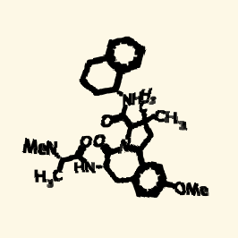 CN[C@@H](C)C(=O)N[C@H]1Cc2ccc(OC)cc2C2CC(C)(C)C(C(=O)N[C@@H]3CCCc4ccccc43)N2C1=O